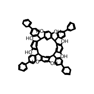 Oc1cc(O)c2cc1C(c1ccc(C3=CC=CCC3)cc1)c1cc(c(O)cc1O)C(c1ccc(-c3ccccc3)cc1)c1cc(c(O)cc1O)C(c1ccc(C3=CC=CCC3)cc1)c1cc(c(O)cc1O)C2c1ccc(-c2ccccc2)cc1